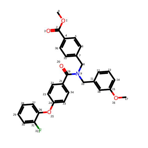 COC(=O)c1ccc(CN(Cc2cccc(OC)c2)C(=O)c2ccc(Oc3ccccc3F)cc2)cc1